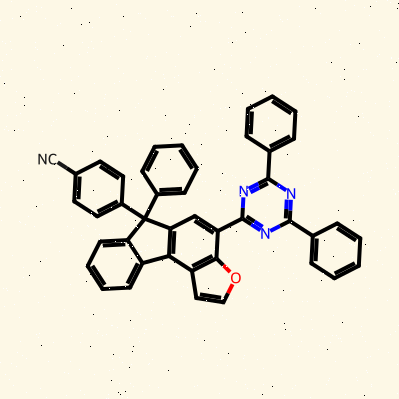 N#Cc1ccc(C2(c3ccccc3)c3ccccc3-c3c2cc(-c2nc(-c4ccccc4)nc(-c4ccccc4)n2)c2occc32)cc1